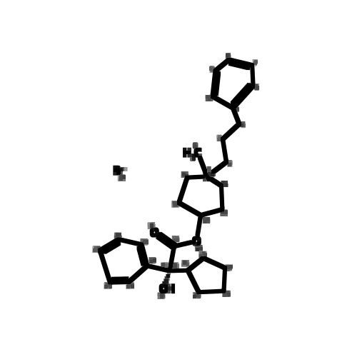 C[N+]1(CCCc2ccccc2)CCC(OC(=O)[C@](O)(c2ccccc2)C2CCCC2)CC1.[Br-]